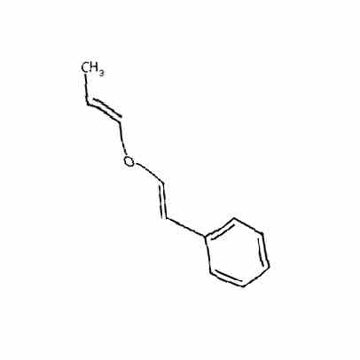 CC=COC=Cc1ccccc1